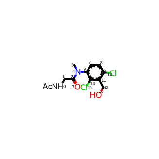 CC(=O)NCC(=O)N(C)c1ccc(Cl)c(CO)c1Cl